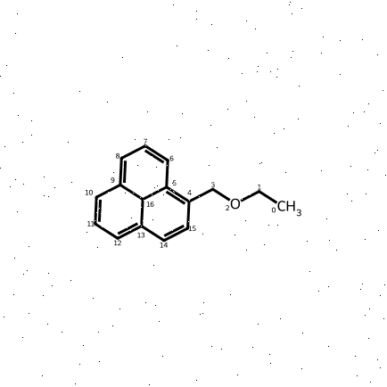 CCOCC1=C2C=CC=C3C=CC=C(C=C1)C32